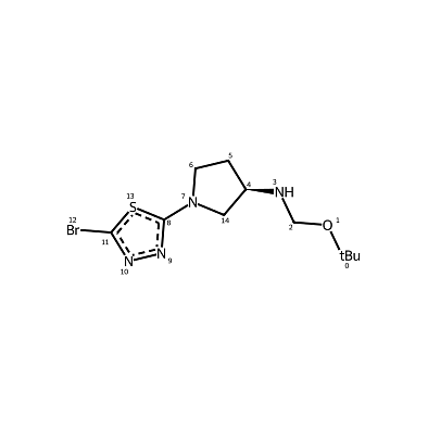 CC(C)(C)OCN[C@@H]1CCN(c2nnc(Br)s2)C1